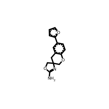 NC1=NC2(CO1)COc1ccc(-c3ccco3)cc1C2